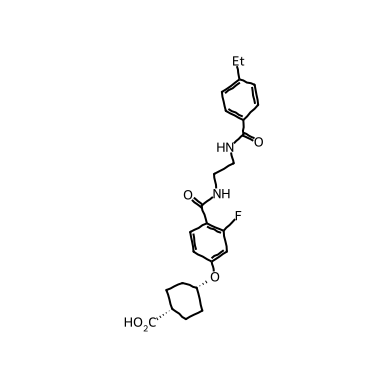 CCc1ccc(C(=O)NCCNC(=O)c2ccc(O[C@H]3CC[C@@H](C(=O)O)CC3)cc2F)cc1